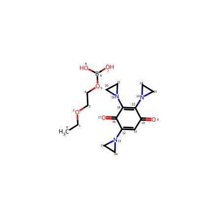 CCOCCOB(O)O.O=C1C=C(N2CC2)C(=O)C(N2CC2)=C1N1CC1